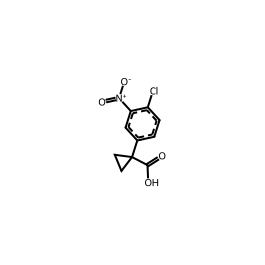 O=C(O)C1(c2ccc(Cl)c([N+](=O)[O-])c2)CC1